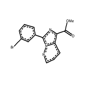 COC(=O)c1nc(-c2cccc(Br)c2)n2ncccc12